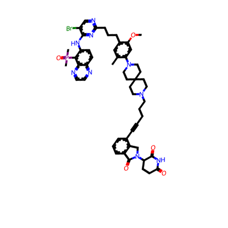 COc1cc(N2CCC3(CCN(CCCC#Cc4cccc5c4CN(C4CCC(=O)NC4=O)C5=O)CC3)CC2)c(C)cc1CCCc1ncc(Br)c(Nc2ccc3nccnc3c2P(C)(C)=O)n1